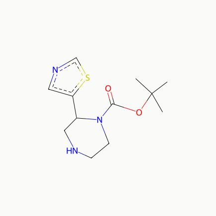 CC(C)(C)OC(=O)N1CCNCC1c1cncs1